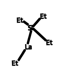 C[CH2][La][Si](CC)(CC)CC